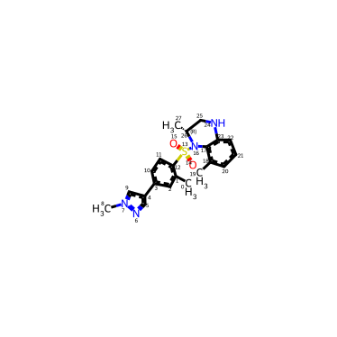 Cc1cc(-c2cnn(C)c2)ccc1S(=O)(=O)N1c2c(C)cccc2NC[C@H]1C